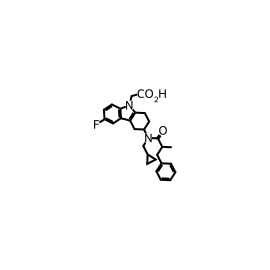 CC(Cc1ccccc1)C(=O)N(CC1CC1)C1CCc2c(c3cc(F)ccc3n2CC(=O)O)C1